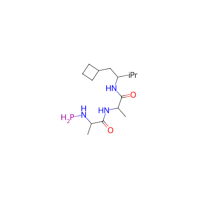 CC(NP)C(=O)NC(C)C(=O)NC(CC1CCC1)C(C)C